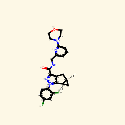 O=C(NCc1cccc(N2CCOCC2)n1)c1nn(-c2ccc(F)cc2F)c2c1C[C@H]1C[C@@H]21